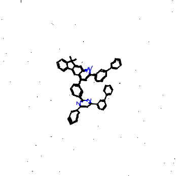 CC1(C)c2ccccc2-c2cc3c(-c4cccc(-c5nc(-c6ccccc6)cc(-c6cccc(-c7ccccc7)c6)n5)c4)cc(-c4cccc(-c5ccccc5)c4)nc3cc21